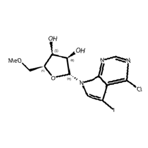 COC[C@@H]1O[C@@H](n2cc(I)c3c(Cl)ncnc32)[C@H](O)[C@@H]1O